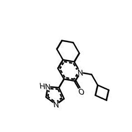 O=c1c(-c2cnc[nH]2)cc2c(n1CC1CCC1)CCCC2